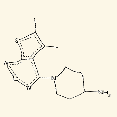 Cc1sc2ncnc(N3CCC(N)CC3)c2c1C